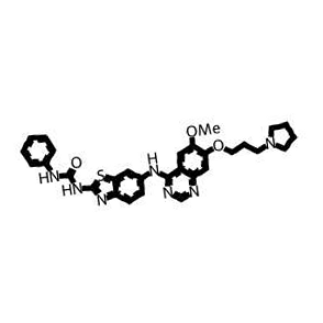 COc1cc2c(Nc3ccc4nc(NC(=O)Nc5ccccc5)sc4c3)ncnc2cc1OCCCN1CCCC1